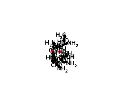 CCCC(=O)NC(CCN)C(=O)NCC(=O)NC(CCN)C(=O)NCC(=O)NC1CC(C)N(C(CCN)C(=O)NC(CCN)C(=O)N[C@H](C(=O)NCC)C(C)O)C1=O